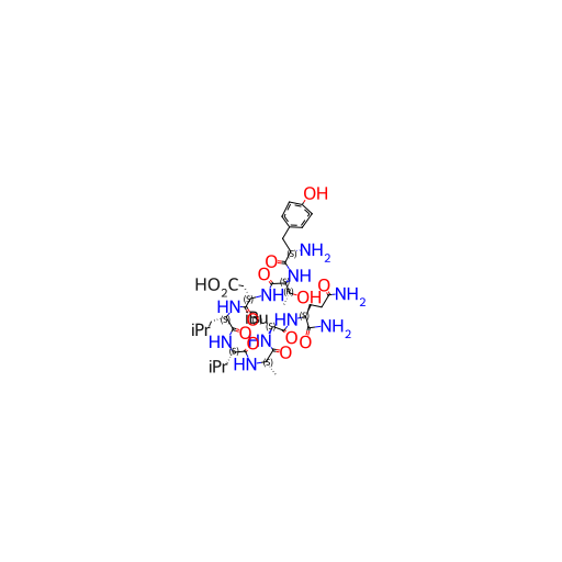 CC[C@H](C)[C@H](NC(=O)[C@H](C)NC(=O)[C@@H](NC(=O)[C@H](CC(C)C)NC(=O)[C@H](CC(=O)O)NC(=O)[C@@H](NC(=O)[C@@H](N)Cc1ccc(O)cc1)[C@@H](C)O)C(C)C)C(=O)N[C@@H](CCC(N)=O)C(N)=O